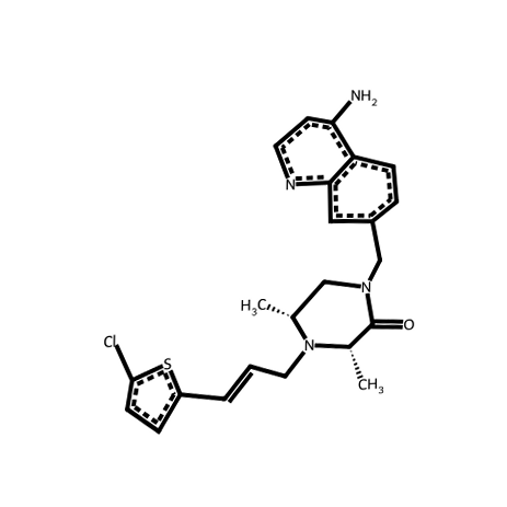 C[C@@H]1CN(Cc2ccc3c(N)ccnc3c2)C(=O)[C@H](C)N1C/C=C/c1ccc(Cl)s1